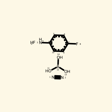 F.N#N.Nc1ccc(F)cc1.OB(O)O